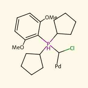 COc1cccc(OC)c1[PH]([CH](Cl)[Pd])(C1CCCC1)C1CCCC1